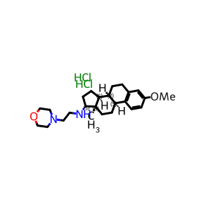 COc1ccc2c(c1)CC[C@@H]1[C@@H]2CC[C@]2(C)[C@@H](NCCN3CCOCC3)CC[C@@H]12.Cl.Cl